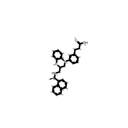 C[C@@H](NCC1CN(c2cccc(CCC(=O)O)c2)c2ccccc2O1)c1cccc2ccccc12